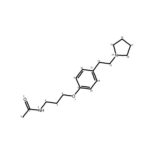 CC(=O)NCCCOc1ccc(CCN2CCCC2)cc1